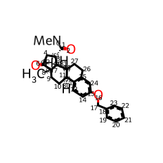 CNC(=O)[C@H]1CC(=O)[C@@]2(C)CC[C@@H]3c4ccc(OCc5ccccc5)cc4CC[C@H]3[C@H]12